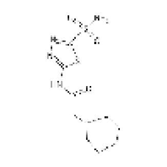 NS(=O)(=O)c1nnc(NC(=O)CC2CCCCC2)s1